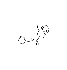 O=C(OCc1ccccc1)N1CCC2(OCCO2)C(F)C1